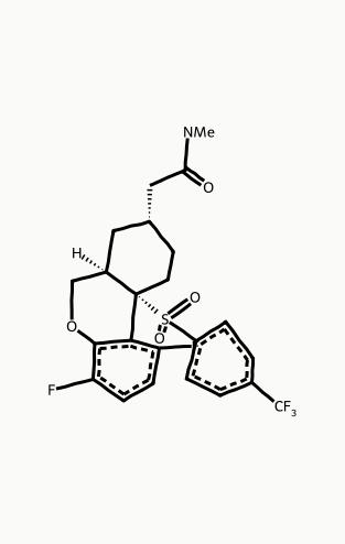 CNC(=O)C[C@@H]1CC[C@@]2(S(=O)(=O)c3ccc(C(F)(F)F)cc3)c3c(F)ccc(F)c3OC[C@H]2C1